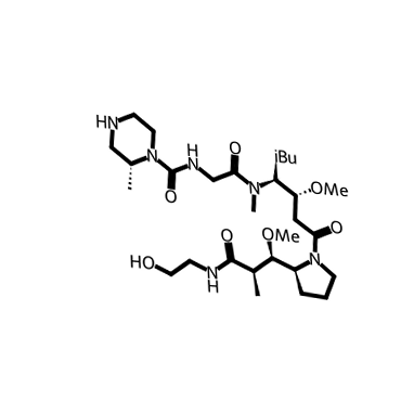 CC[C@H](C)[C@@H]([C@@H](CC(=O)N1CCC[C@H]1[C@H](OC)[C@@H](C)C(=O)NCCO)OC)N(C)C(=O)CNC(=O)N1CCNC[C@H]1C